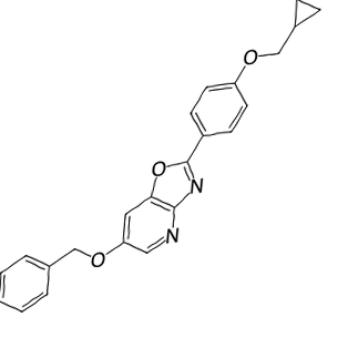 c1ccc(COc2cnc3nc(-c4ccc(OCC5CC5)cc4)oc3c2)cc1